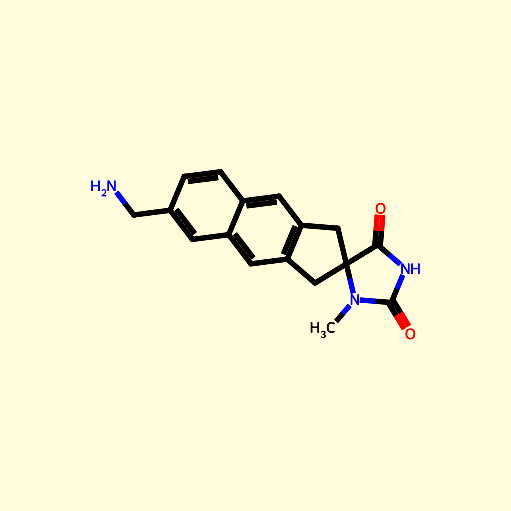 CN1C(=O)NC(=O)C12Cc1cc3ccc(CN)cc3cc1C2